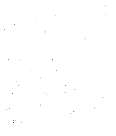 CN1C(=O)C(NC(=O)c2ccc3[nH]cc(-c4ccc(F)cc4)c3c2)COc2ccccc21